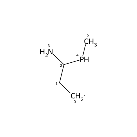 [CH2]CC(N)PC